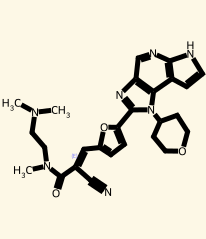 CN(C)CCN(C)C(=O)/C(C#N)=C/c1ccc(-c2nc3cnc4[nH]ccc4c3n2C2CCOCC2)o1